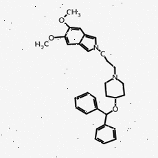 COc1cc2cn(CCCN3CCC(OC(c4ccccc4)c4ccccc4)CC3)cc2cc1OC